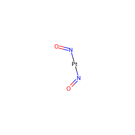 O=[N][Pt][N]=O